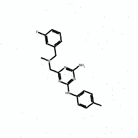 Cc1ccc(Nc2nc(N)nc(CN(C)Cc3cccc(F)c3)n2)cc1